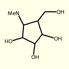 CNC1C(O)C(O)C(O)C1CO